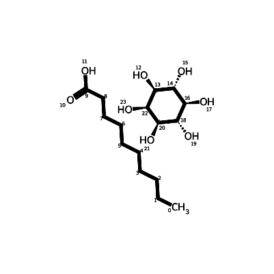 CCCCCCCCCC(=O)O.O[C@H]1[C@H](O)[C@@H](O)[C@H](O)[C@@H](O)[C@H]1O